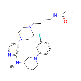 C=CC(=O)NCCCCN1CCN(c2ccnc(N(C(C)C)C3CCCN(c4cccc(F)c4)C3)c2)CC1